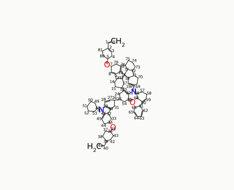 C=CC1=CCC(OC2C=CC(C3(C4CCCCC4)C4C=C(N(C5=CCC(C6C=CC7=C(C6)C6CC(OC8CCC(C=C)CC8)CC=C6N7C6CCCCC6)CC5)C5CCC=C6C7C=CC=CC7OC65)CCC4C4CCCCC43)=CC2)CC1